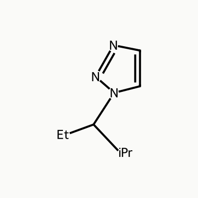 CCC(C(C)C)n1ccnn1